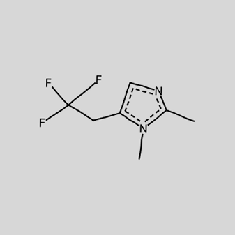 Cc1ncc(CC(F)(F)F)n1C